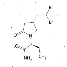 CC[C@@H](C(N)=O)N1C[C@@H](C=C(Br)Br)CC1=O